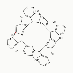 Cc1ccccc1C1c2cc(c(O)cc2O)C(c2ccccc2C)c2cc(c(O)cc2O)C(c2ccccc2C)c2cc(c(O)cc2O)C(c2ccccc2C)c2cc1c(O)cc2O